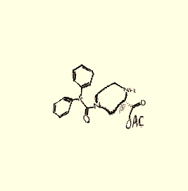 CC(=O)OC(=O)[C@@H]1CN(C(=O)N(c2ccccc2)c2ccccc2)CCN1